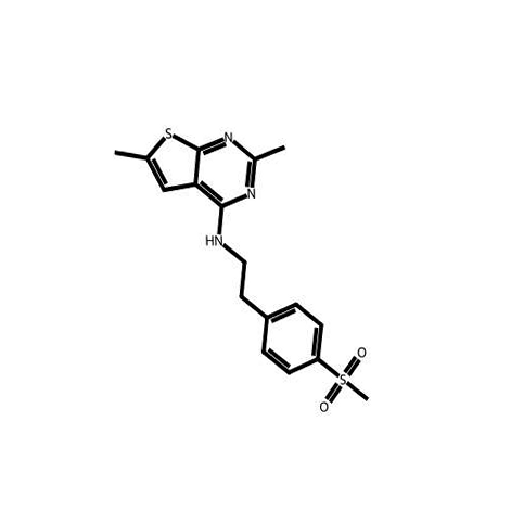 Cc1nc(NCCc2ccc(S(C)(=O)=O)cc2)c2cc(C)sc2n1